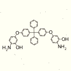 Nc1ccc(Oc2ccc(C(c3ccccc3)(c3ccccc3)c3ccc(Oc4ccc(N)c(O)c4)cc3)cc2)cc1O